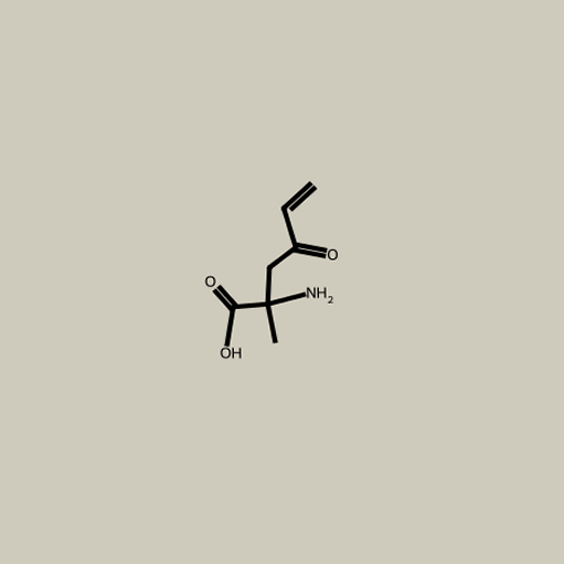 C=CC(=O)CC(C)(N)C(=O)O